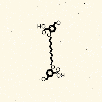 O=Cc1ccc(OCCCCCCCCCCOc2ccc(C=O)cc2C(=O)O)c(C(=O)O)c1